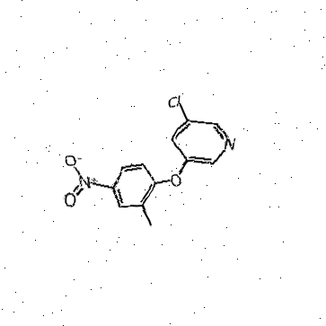 Cc1cc([N+](=O)[O-])ccc1Oc1cncc(Cl)c1